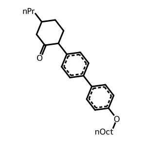 CCCCCCCCOc1ccc(-c2ccc(C3CCC(CCC)CC3=O)cc2)cc1